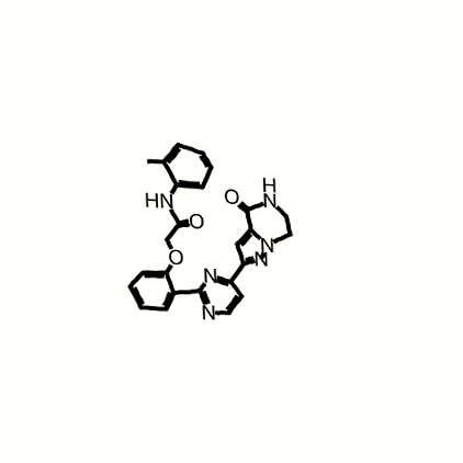 Cc1ccccc1NC(=O)COc1ccccc1-c1nccc(-c2cc3n(n2)CCNC3=O)n1